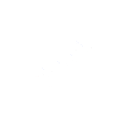 COc1ncc(-c2cc(C)c3c(n2)CN(c2cnn(CC(F)(F)F)c2)C3=O)cc1CO